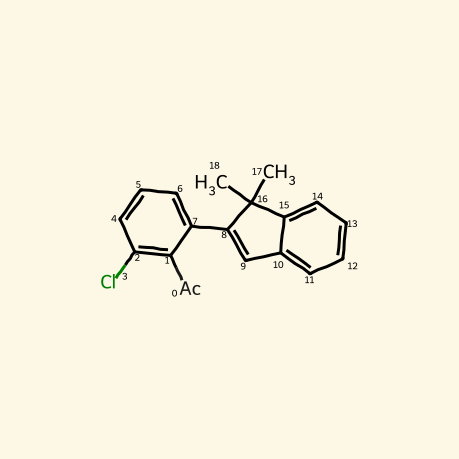 CC(=O)c1c(Cl)cccc1C1=Cc2ccccc2C1(C)C